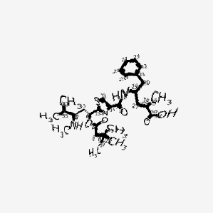 CN[C@H](C[C@@H](OC(=O)CC(C)(C)C)c1nc(C(=O)NC(Cc2ccccc2)CC(C)C(=O)O)cs1)C(C)C